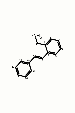 NCc1ccccc1C=Cc1ccccc1